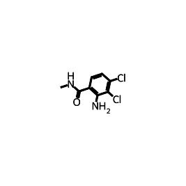 CNC(=O)c1ccc(Cl)c(Cl)c1N